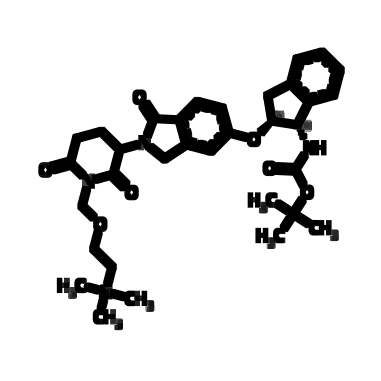 CC(C)(C)OC(=O)N[C@H]1c2ccccc2C[C@@H]1Oc1ccc2c(c1)CN(C1CCC(=O)N(COCC[Si](C)(C)C)C1=O)C2=O